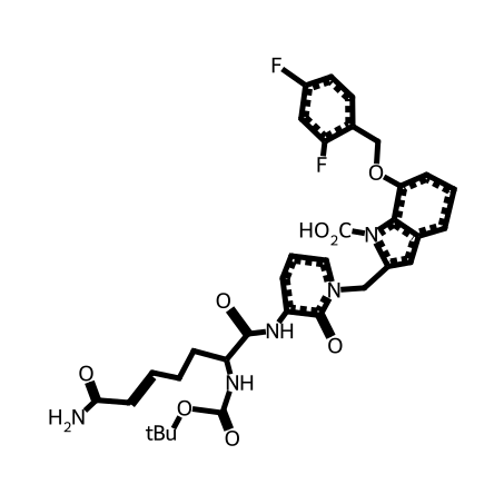 CC(C)(C)OC(=O)NC(CCC=CC(N)=O)C(=O)Nc1cccn(Cc2cc3cccc(OCc4ccc(F)cc4F)c3n2C(=O)O)c1=O